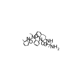 CCN(C(=O)c1ccccc1N1C(=O)C(NC(=O)C(C)(C)N)CCc2ccccc21)c1nc2c(C)cccc2o1